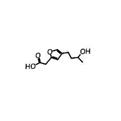 CC(O)CCc1coc(CC(=O)O)c1